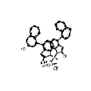 CCC1=Cc2c(-c3cccc4ccccc34)cccc2[CH]1[Zr]([CH3])([SiH3])[CH]1C(CC)=Cc2c(-c3cccc4ccccc34)cccc21.CCCCCC.Cl.Cl